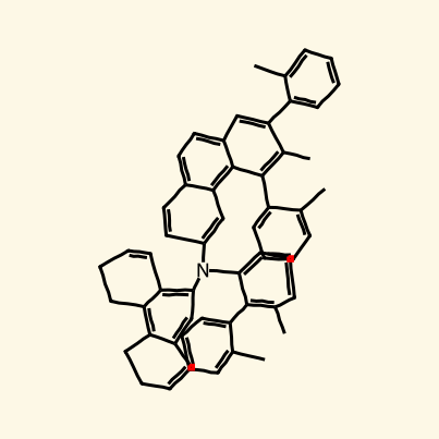 Cc1ccccc1-c1cc2ccc3ccc(N(c4cc5c(c6c4C=CCC6)CCC=C5)c4cccc(C)c4-c4ccccc4C)cc3c2c(-c2ccccc2C)c1C